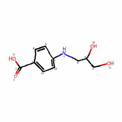 O=C(O)c1ccc(NCC(O)CO)cc1